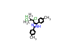 Cc1ccc(-c2nc(C(Cl)C(C)C)c(-c3ccc(C)cc3)[nH]2)cc1.Cl